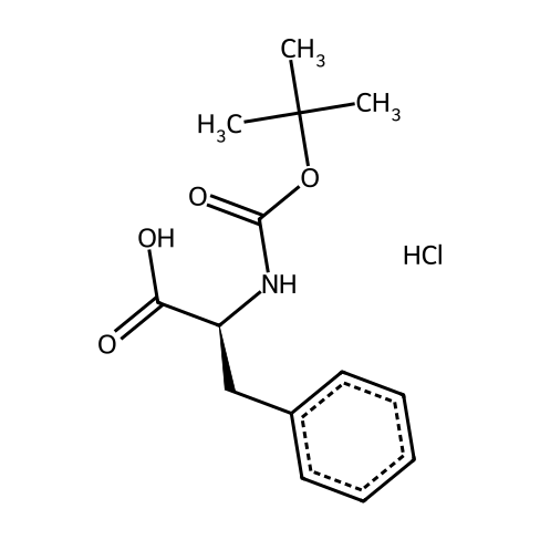 CC(C)(C)OC(=O)N[C@@H](Cc1ccccc1)C(=O)O.Cl